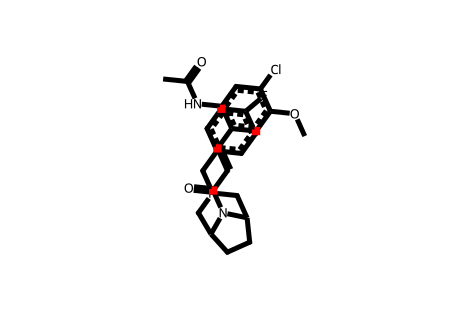 COc1cc(C=CC(=O)N2C3CCC2CN(Cc2ccc(F)cc2)C3)c(NC(C)=O)cc1Cl